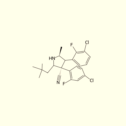 C[C@@H]1NC(CC(C)(C)C)[C@](C#N)(c2ccc(Cl)cc2F)C1c1cccc(Cl)c1F